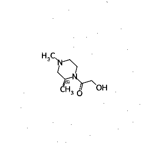 C[C@H]1CN(C)CCN1C(=O)CO